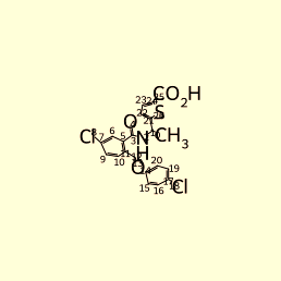 CC(NC(=O)c1cc(Cl)ccc1COc1ccc(Cl)cc1)c1ccc(C(=O)O)s1